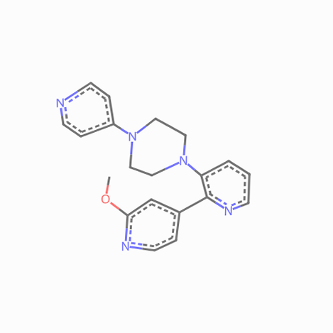 COc1cc(-c2ncccc2N2CCN(c3ccncc3)CC2)ccn1